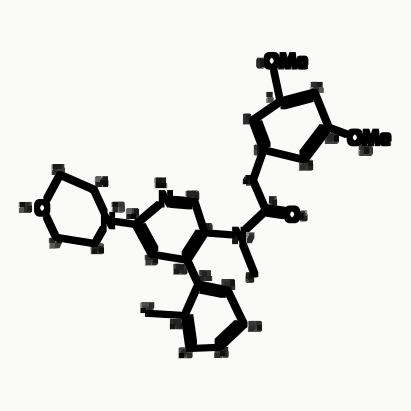 COc1cc(CC(=O)N(C)c2cnc(N3CCOCC3)cc2-c2ccccc2C)cc(OC)c1